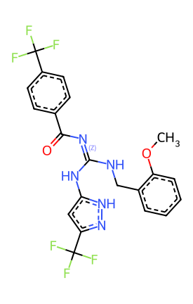 COc1ccccc1CN/C(=N/C(=O)c1ccc(C(F)(F)F)cc1)Nc1cc(C(F)(F)F)n[nH]1